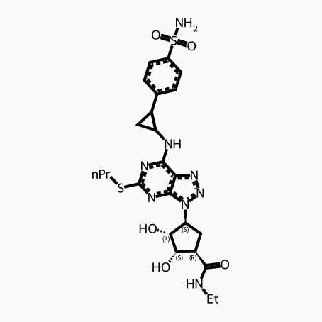 CCCSc1nc(NC2CC2c2ccc(S(N)(=O)=O)cc2)c2nnn([C@H]3C[C@@H](C(=O)NCC)[C@H](O)[C@@H]3O)c2n1